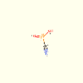 N#C[PH](=O)O